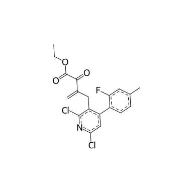 C=C(Cc1c(-c2ccc(C)cc2F)cc(Cl)nc1Cl)C(=O)C(=O)OCC